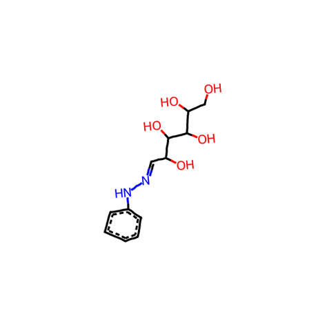 OCC(O)C(O)C(O)C(O)/C=N/Nc1ccccc1